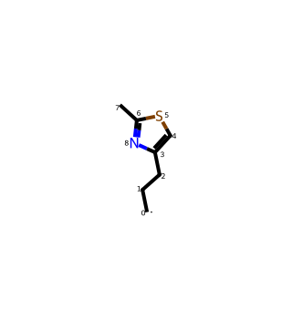 [CH2]CCc1csc(C)n1